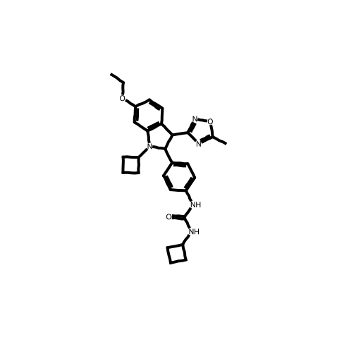 CCOc1ccc2c(c1)N(C1CCC1)C(c1ccc(NC(=O)NC3CCC3)cc1)C2c1noc(C)n1